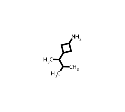 CC(C)C(C)C1CC(N)C1